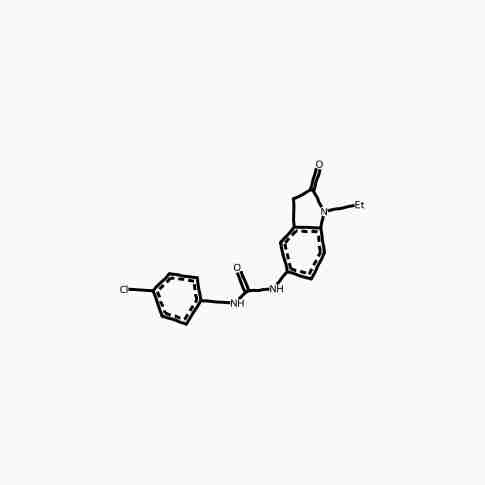 CCN1C(=O)Cc2cc(NC(=O)Nc3ccc(Cl)cc3)ccc21